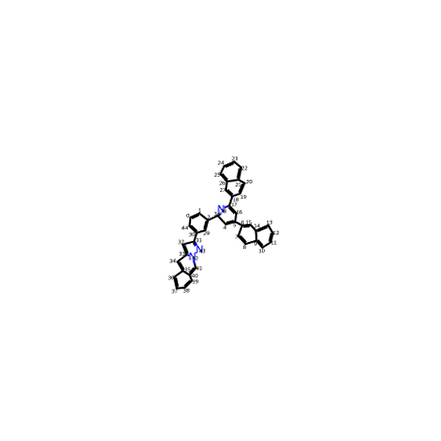 c1cc(-c2cc(-c3ccc4ccccc4c3)cc(-c3ccc4ccccc4c3)n2)cc(-c2cc3cc4ccccc4cn3n2)c1